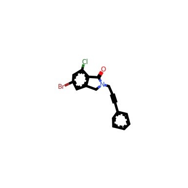 O=C1c2c(Cl)cc(Br)cc2CN1CC#Cc1ccccc1